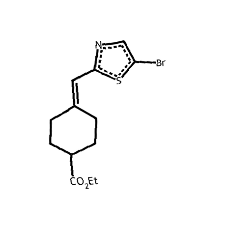 CCOC(=O)C1CCC(=Cc2ncc(Br)s2)CC1